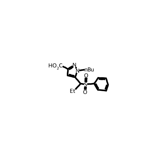 CCCCn1nc(C(=O)O)cc1C(CC)S(=O)(=O)c1ccccc1